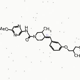 COc1cnc(NC(=O)N2CC/C(=C\c3cccc(OCC(C)CC(F)(F)F)c3)C(C)C2)cn1